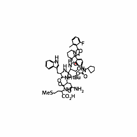 CSCCC(NC(=O)C(CC(N)=O)NC(=O)C(Cc1c[nH]c2ccccc12)NC(=O)C(CO)NC(=O)[C@@H]1CCCN(C(=O)c2c(C)cccc2F)[C@]1(I)c1ccc(N(C(=O)OC(C)(C)C)C2CCCC2)cc1)C(=O)O